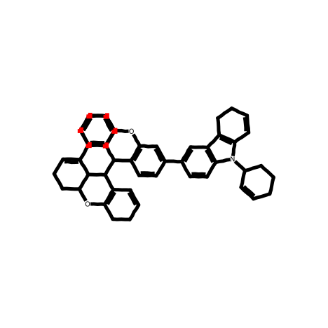 C1=CC(n2c3c(c4cc(-c5ccc6c(c5)Oc5ccccc5C6C5C6=C(CCC=C6)OC6CCC=C(c7ccccc7)C65)ccc42)CCC=C3)CCC1